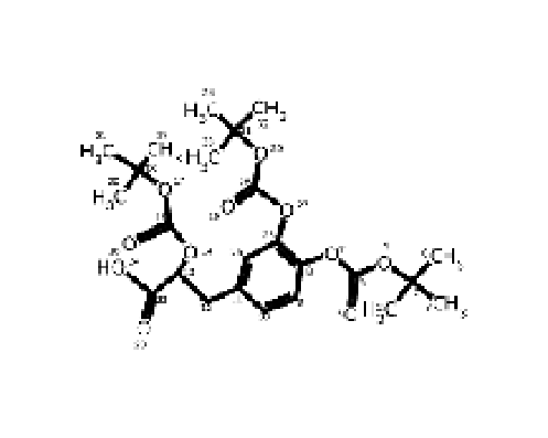 CC(C)(C)OC(=O)Oc1ccc(CC(OC(=O)OC(C)(C)C)C(=O)O)cc1OC(=O)OC(C)(C)C